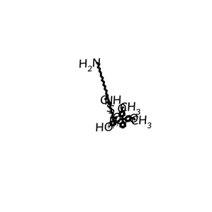 COc1ccc(C(OC[C@@H]2C[C@@H](O)CN2C(=O)CCCSSCCNC(=O)CCCCCCCCCCCCCCCN)(c2ccccc2)c2ccc(OC)cc2)cc1